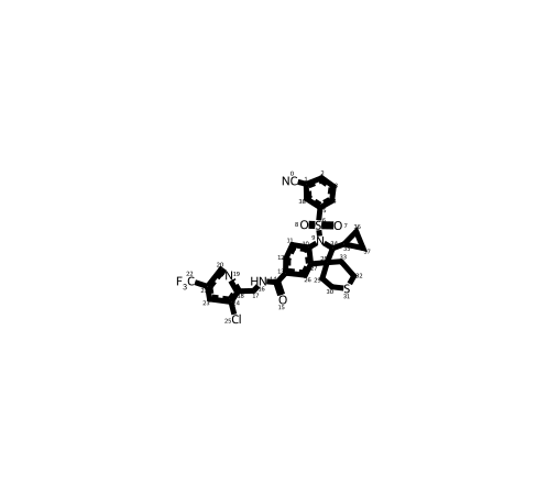 N#Cc1cccc(S(=O)(=O)N2c3ccc(C(=O)NCc4ncc(C(F)(F)F)cc4Cl)cc3C3(CCSCC3)C2C2CC2)c1